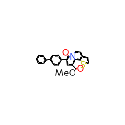 COC(=O)c1cc(-c2ccc(-c3ccccc3)cc2)c(=O)n2ccc3ccsc3c12